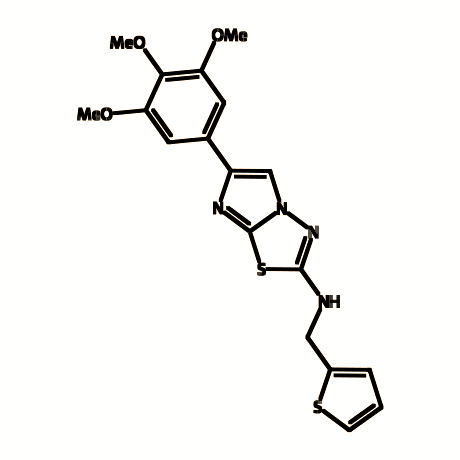 COc1cc(-c2cn3nc(NCc4cccs4)sc3n2)cc(OC)c1OC